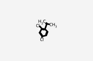 C=C(C)c1ccc(Cl)cc1Cl